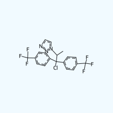 CC(n1ccnn1)C(Cl)(c1ccc(C(F)(F)F)cc1)c1ccc(C(F)(F)F)cc1